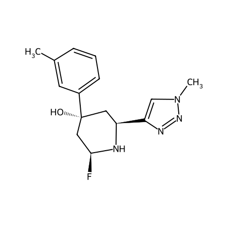 Cc1cccc([C@@]2(O)C[C@@H](c3cn(C)nn3)N[C@@H](F)C2)c1